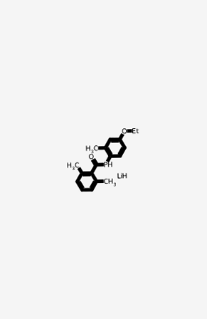 CCOc1ccc(PC(=O)c2c(C)cccc2C)c(C)c1.[LiH]